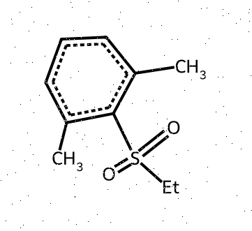 [CH2]CS(=O)(=O)c1c(C)cccc1C